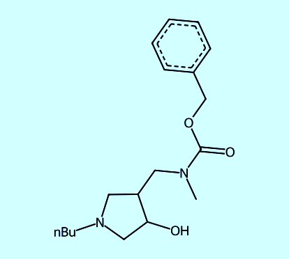 CCCCN1CC(O)C(CN(C)C(=O)OCc2ccccc2)C1